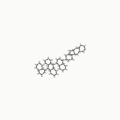 c1ccc2cc3c(cc2c1)sc1cc(-c2ccc(-c4c5ccccc5c(-c5cccc6ccccc56)c5ccccc45)c4ccccc24)ccc13